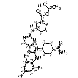 CC(C)OC(=O)N1CCC[C@@H](Nc2ncc3nc(Nc4c(F)cc(F)cc4F)n(C4CCC(C(N)=O)CC4)c3n2)C1